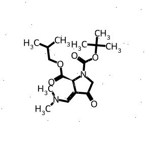 CC(C)COC(=O)[C@@H]1/C(=C\N(C)C)C(=O)CN1C(=O)OC(C)(C)C